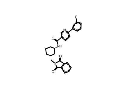 O=C(N[C@H]1CCC[C@@H](CN2C(=O)c3ccccc3C2=O)C1)c1ccc(-c2cccc(F)c2)nc1